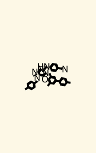 Cc1ccc(Cn2cnc3nc(Nc4ccc(C#N)cc4)nc(Oc4c(C)cc(-c5ccc(C)cc5)cc4C)c32)cc1